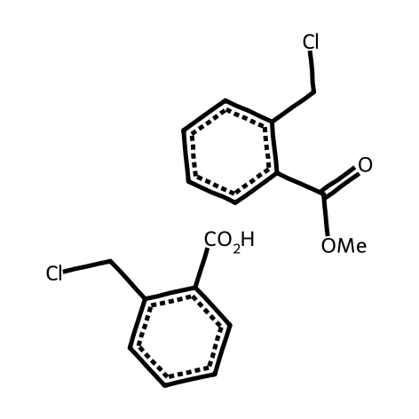 COC(=O)c1ccccc1CCl.O=C(O)c1ccccc1CCl